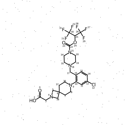 O=C(O)CN1CC2(CCN(c3cc(Cl)ccc3CN3CCN(C(=O)OC(C(F)(F)F)C(F)(F)F)CC3)CC2)C1